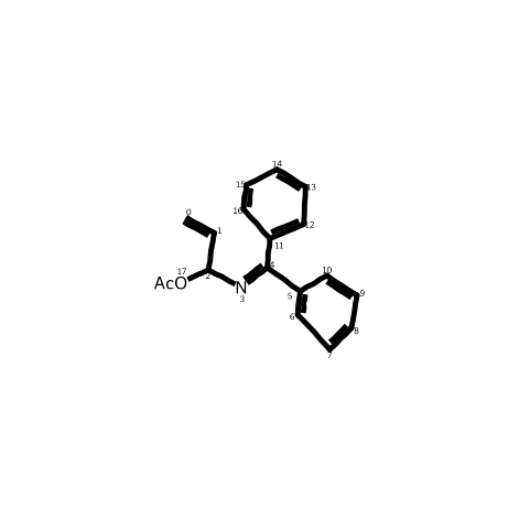 C=CC(N=C(c1ccccc1)c1ccccc1)OC(C)=O